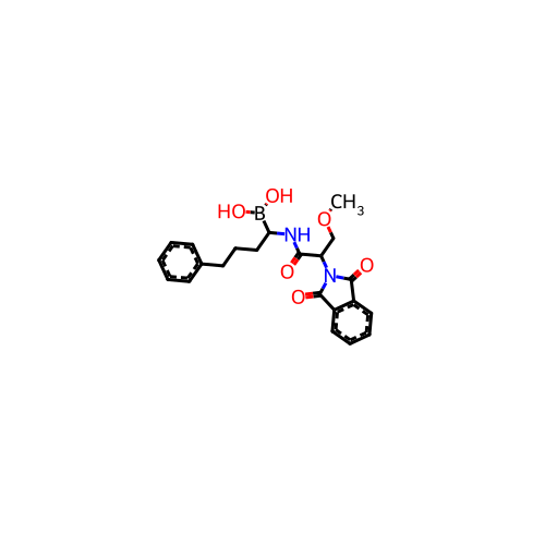 COCC(C(=O)NC(CCCc1ccccc1)B(O)O)N1C(=O)c2ccccc2C1=O